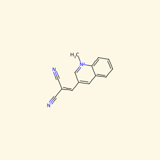 C[n+]1cc(C=C(C#N)C#N)cc2ccccc21